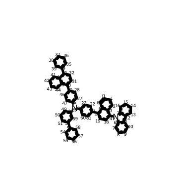 c1ccc2c(-n3c4ccccc4c4ccccc43)ccc(-c3ccc(N(c4ccc(-c5ccc(-c6ccccc6)c6ccccc56)cc4)c4cccc(-c5ccccc5)c4)cc3)c2c#1